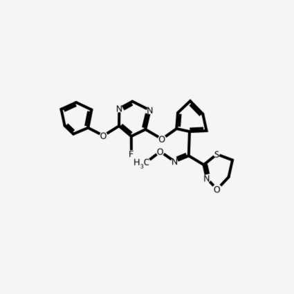 CON=C(C1=NOCCS1)c1ccccc1Oc1ncnc(Oc2ccccc2)c1F